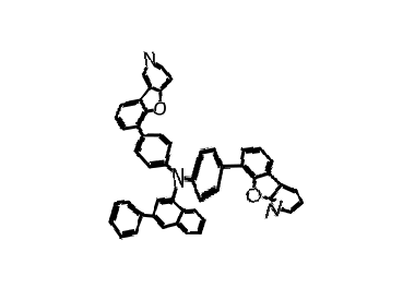 c1ccc(-c2cc(N(c3ccc(-c4cccc5c4oc4ccncc45)cc3)c3ccc(-c4cccc5c4oc4ncccc45)cc3)c3ccccc3c2)cc1